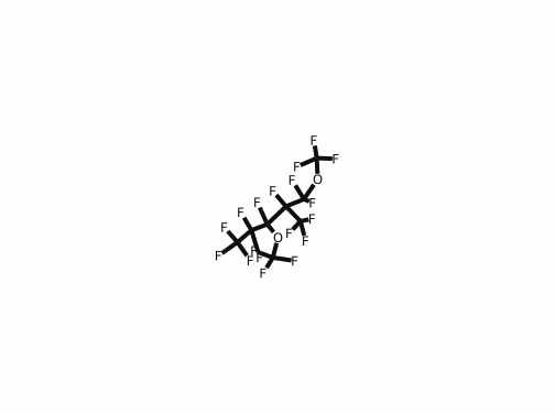 FC(F)(F)OC(F)(F)C(F)(C(F)(F)F)C(F)(OC(F)(F)F)C(F)(F)C(F)(F)F